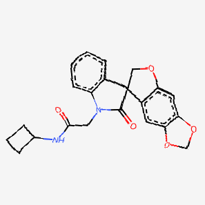 O=C(CN1C(=O)C2(COc3cc4c(cc32)OCO4)c2ccccc21)NC1CCC1